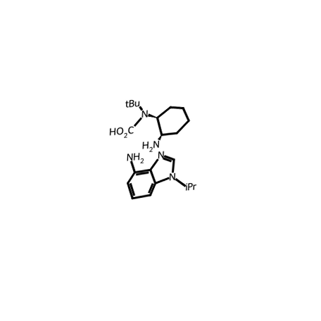 CC(C)(C)N(C(=O)O)[C@H]1CCCC[C@H]1N.CC(C)n1cnc2c(N)cccc21